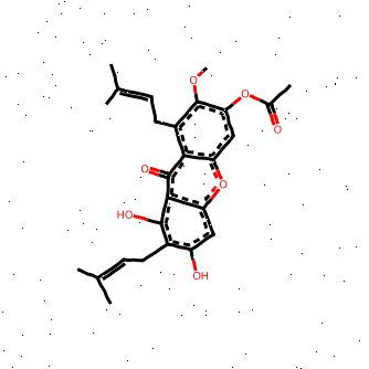 COc1c(OC(C)=O)cc2oc3cc(O)c(CC=C(C)C)c(O)c3c(=O)c2c1CC=C(C)C